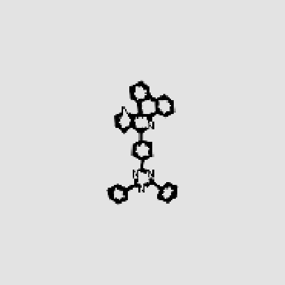 c1ccc(-c2nc(-c3ccccc3)nc(-c3ccc(-c4nc5c6ccccc6c6ccccc6c5c5ncccc45)cc3)n2)cc1